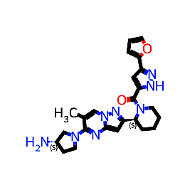 Cc1cn2nc([C@@H]3CCCCN3C(=O)c3cc(-c4ccco4)n[nH]3)cc2nc1N1CC[C@H](N)C1